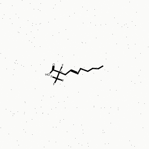 CCCCCC=CC[C@@](F)(C(=O)O)C(F)(F)F